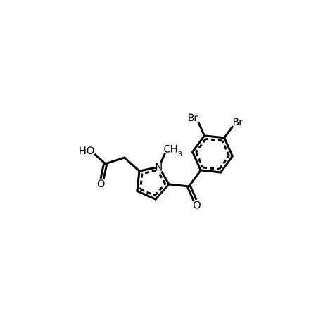 Cn1c(CC(=O)O)ccc1C(=O)c1ccc(Br)c(Br)c1